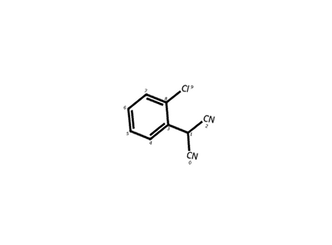 N#CC(C#N)c1ccccc1Cl